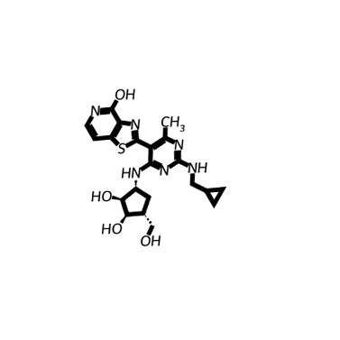 Cc1nc(NCC2CC2)nc(N[C@@H]2C[C@H](CO)[C@@H](O)[C@H]2O)c1-c1nc2c(O)nccc2s1